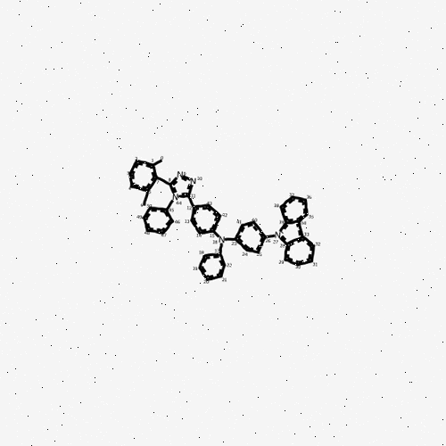 Cc1cccc(C)c1-c1nnc(-c2ccc(N(c3ccccc3)c3ccc(-n4c5ccccc5c5ccccc54)cc3)cc2)n1-c1ccccc1